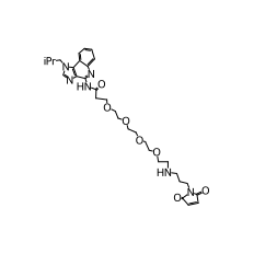 CC(C)Cn1cnc2c(NC(=O)CCOCCOCCOCCOCCNCCCN3C(=O)C=CC3=O)nc3ccccc3c21